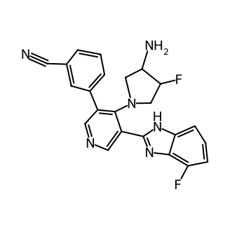 N#Cc1cccc(-c2cncc(-c3nc4c(F)cccc4[nH]3)c2N2CC(N)C(F)C2)c1